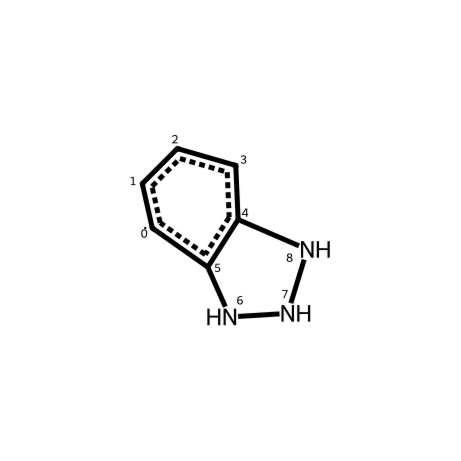 [c]1cccc2c1NNN2